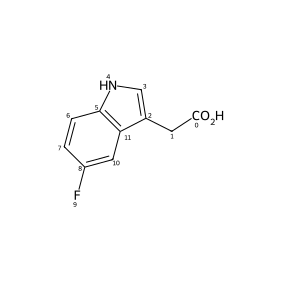 O=C(O)Cc1c[nH]c2ccc(F)cc12